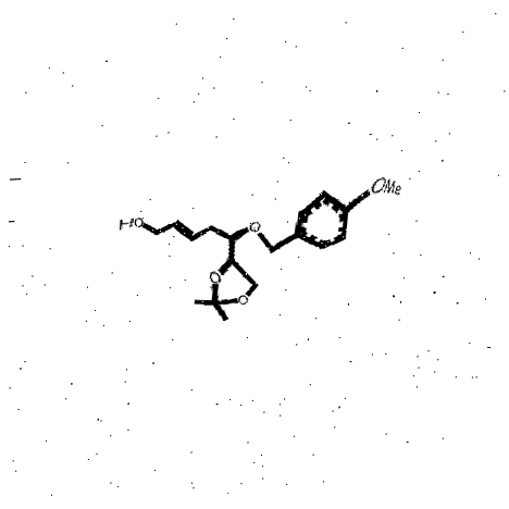 COc1ccc(COC(CC=CCO)C2COC(C)(C)O2)cc1